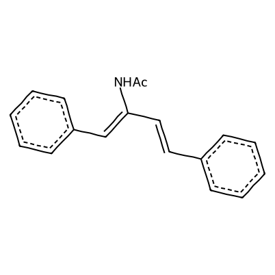 CC(=O)NC(C=Cc1ccccc1)=Cc1ccccc1